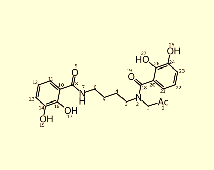 CC(=O)CN(CCCCNC(=O)c1cccc(O)c1O)C(=O)c1cccc(O)c1O